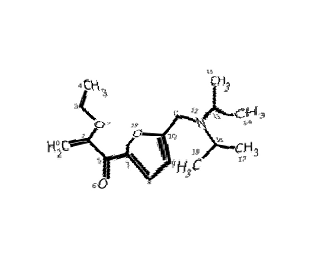 C=C(OCC)C(=O)c1ccc(CN(C(C)C)C(C)C)o1